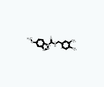 COc1ccc2c(c1)nnn2C(=O)NCc1ccc(C)c(C)c1